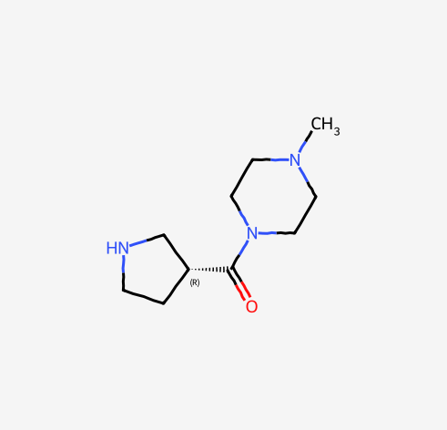 CN1CCN(C(=O)[C@@H]2CCNC2)CC1